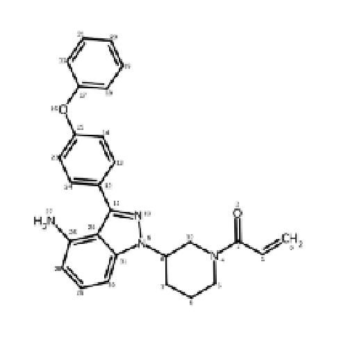 C=CC(=O)N1CCCC(n2nc(-c3ccc(Oc4ccccc4)cc3)c3c(N)cccc32)C1